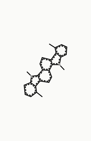 Cc1cccc2c1c1ccc3c(ccc4c5c(C)cccc5n(C)c34)c1n2C